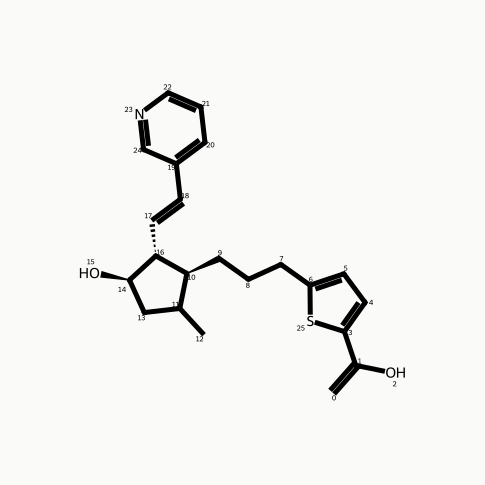 C=C(O)c1ccc(CCC[C@H]2C(C)C[C@@H](O)[C@@H]2/C=C/c2cccnc2)s1